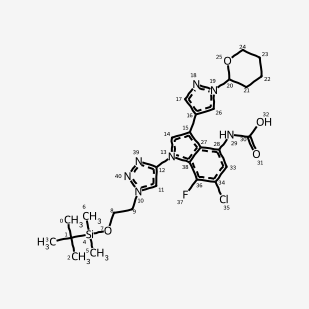 CC(C)(C)[Si](C)(C)OCCn1cc(-n2cc(-c3cnn(C4CCCCO4)c3)c3c(NC(=O)O)cc(Cl)c(F)c32)nn1